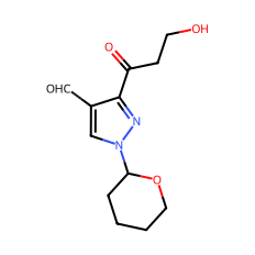 O=Cc1cn(C2CCCCO2)nc1C(=O)CCO